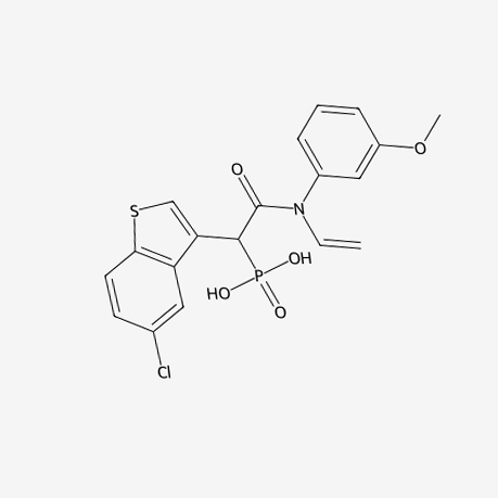 C=CN(C(=O)C(c1csc2ccc(Cl)cc12)P(=O)(O)O)c1cccc(OC)c1